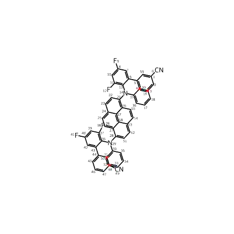 N#Cc1cccc(-c2cc(F)cc(F)c2N(c2ccccc2)c2ccc3ccc4c(N(c5ccccc5)c5c(F)cc(F)cc5-c5cccc(C#N)c5)ccc5ccc2c3c54)c1